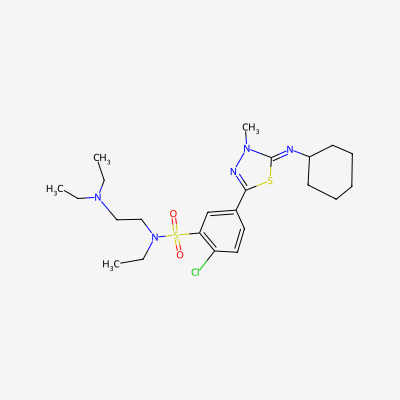 CCN(CC)CCN(CC)S(=O)(=O)c1cc(-c2nn(C)c(=NC3CCCCC3)s2)ccc1Cl